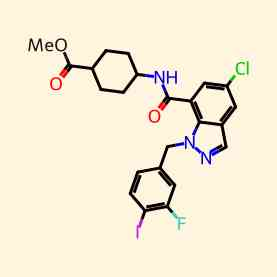 COC(=O)C1CCC(NC(=O)c2cc(Cl)cc3cnn(Cc4ccc(I)c(F)c4)c23)CC1